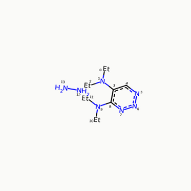 CCN(CC)c1cnnnc1N(CC)CC.NN